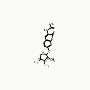 CC(=O)Nc1cc2ccc(OC3OC[C@H](C)[C@H](C)[C@@H]3C)cc2oc1=O